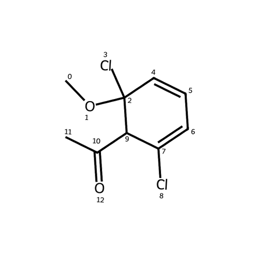 COC1(Cl)C=CC=C(Cl)C1C(C)=O